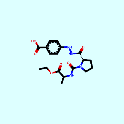 CCOC(=O)C(C)NC(=O)N1CCC[C@H]1C(=O)NNc1ccc(C(=O)O)cc1